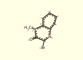 Cn1c(=O)c(Br)nc2ccccc21